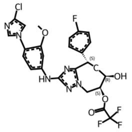 COc1cc(Nc2nc3n(n2)C[C@H](OC(=O)C(F)(F)F)[C@H](O)C[C@H]3c2ccc(F)cc2)ccc1-n1cnc(Cl)c1